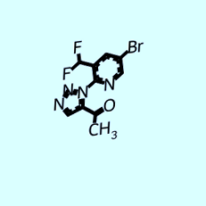 CC(=O)c1cnnn1-c1ncc(Br)cc1C(F)F